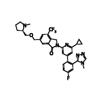 CN1CCC[C@@H]1COCc1cc2c(c(C(F)(F)F)c1)CN(c1cc(-c3ccc(F)cc3-c3nncn3C)cc(C3CC3)n1)C2=O